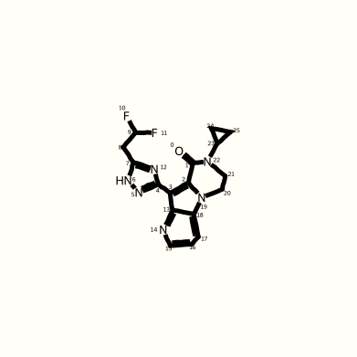 O=C1c2c(-c3n[nH]c(CC(F)F)n3)c3ncccc3n2CCN1C1CC1